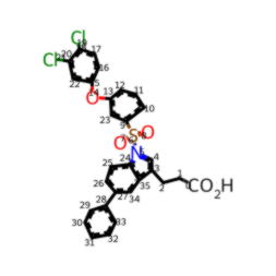 O=C(O)CCc1cn(S(=O)(=O)c2cccc(Oc3ccc(Cl)c(Cl)c3)c2)c2ccc(-c3ccccc3)cc12